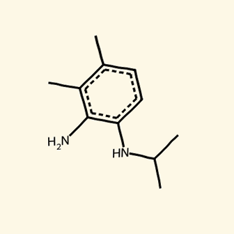 Cc1ccc(NC(C)C)c(N)c1C